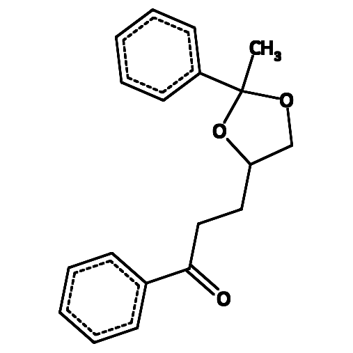 CC1(c2ccccc2)OCC(CCC(=O)c2ccccc2)O1